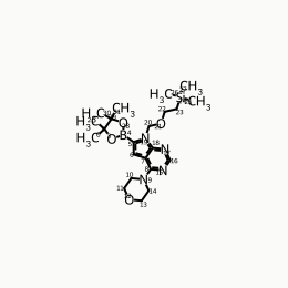 CC1(C)OB(c2cc3c(N4CCOCC4)ncnc3n2COCC[Si](C)(C)C)OC1(C)C